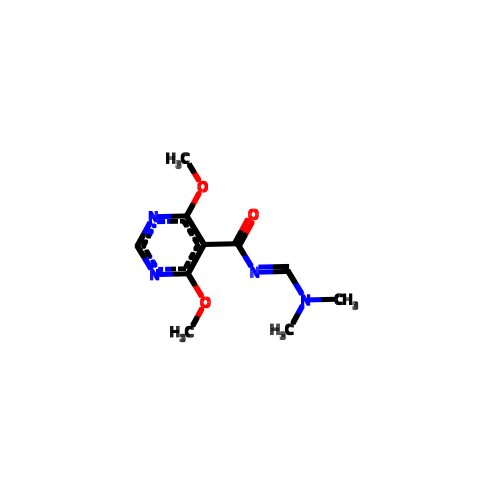 COc1ncnc(OC)c1C(=O)N=CN(C)C